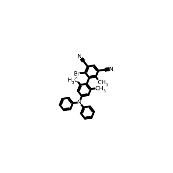 Cc1cc(N(c2ccccc2)c2ccccc2)cc(C)c1-c1c(C)c(C#N)cc(C#N)c1Br